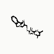 Cc1cc(C)n2nc(SCc3cn4c(n3)-c3ccccc3C4)nc2n1